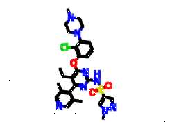 CCc1c(Oc2cccc(N3CCN(C)CC3)c2Cl)nc(NS(=O)(=O)c2cnn(C)c2)nc1-c1c(C)cncc1C